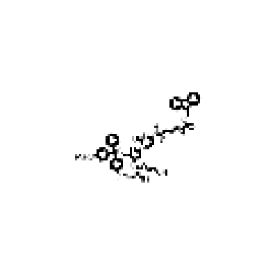 COc1ccc(C(OC[C@H]2O[C@@H](n3ccc(NC(=O)CCCN(C)C(=O)OCC4c5ccccc5-c5ccccc54)nc3=O)CC2OP(OCCC#N)N(C)C(C)C)(c2ccccc2)c2ccc(OC)cc2)cc1